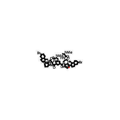 CN[C@@H](C)C(=O)N[C@H]1CN(C(=O)c2cccc(C(=O)C3Nc4ccccc4N(Cc4c(OC)ccc5cc(Br)ccc45)C(=O)[C@H]3NC(=O)[C@H](C)NC)c2)c2ccccc2N(Cc2c(OC)ccc3cc(Br)ccc23)C1=O